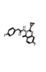 C=C1c2ccc(F)cc2N=C(C2CC2)N1NC(=O)Cc1ccc(F)cc1